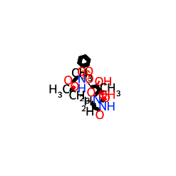 [2H]c1c([2H])n([C@@H]2O[C@H](CO[P@@](=O)(NC(C)C(=O)OC(C)C)Oc3ccccc3)[C@@H](O)[C@@]2(C)O)c(=O)[nH]c1=O